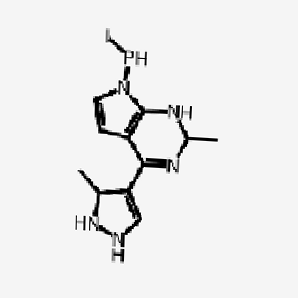 CC1N=C(C2=CNNC2C)c2ccn(PI)c2N1